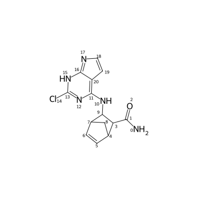 NC(=O)C1C2C=CC(C2)C1Nc1nc(Cl)[nH]c2nccc1-2